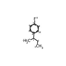 [CH2]C(CC)c1ccc(F)cc1